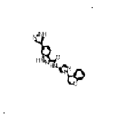 O=C(Nc1cnn(C2CCOc3ccccc32)c1)c1n[nH]c2cc(-c3cn[nH]c3)ccc12